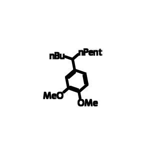 CCCCCC(CCCC)c1ccc(OC)c(OC)c1